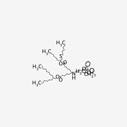 CCCCCCCCC(CCCCCC)COC(=O)CCCCC(CCCCC(=O)OC(CCCCCC)CSCCCCCC)NCCCCO[Si](c1ccccc1)(c1ccccc1)C(C)(C)C